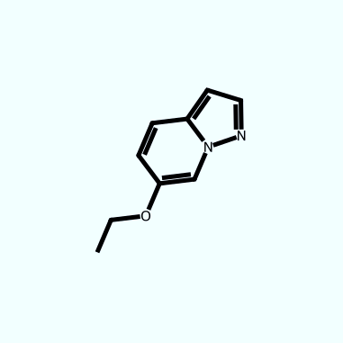 CCOc1ccc2ccnn2c1